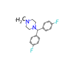 [CH2]N1CCN(C(c2ccc(F)cc2)c2ccc(F)cc2)CC1